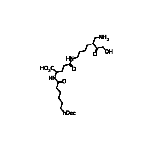 CCCCCCCCCCCCCCCC(=O)NC(CCC(=O)NCCCC[C@H](CN)C(=O)CO)C(=O)O